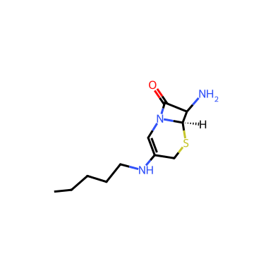 CCCCCNC1=CN2C(=O)C(N)[C@H]2SC1